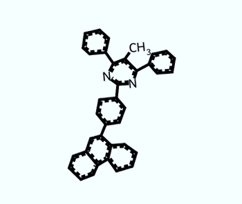 Cc1c(-c2ccccc2)nc(-c2ccc(-c3cc4ccccc4c4ccccc34)cc2)nc1-c1ccccc1